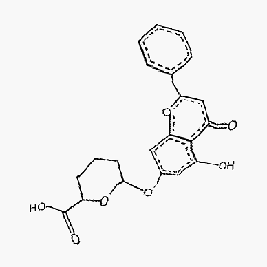 O=C(O)C1CCCC(Oc2cc(O)c3c(=O)cc(-c4ccccc4)oc3c2)O1